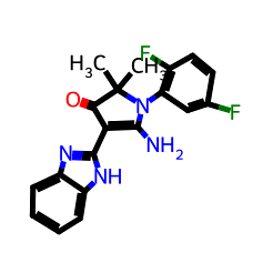 CC1(C)C(=O)C(c2nc3ccccc3[nH]2)=C(N)N1c1cc(F)ccc1F